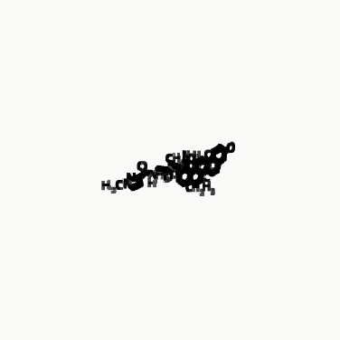 CN(CC1(C)CCC2(C)CCC3(C)C4(C)CCC5CC(=O)C=CC5(C)C4=CC(=O)C3(O)C2C1C#N)C(=O)CNC(=O)c1ccn(C)n1